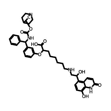 O=C(NC(c1ccccc1)c1cccc(OC(CCCCCCNCC(O)c2ccc(O)c3[nH]c(=O)ccc23)C(=O)O)c1)OC1CN2CCC1CC2